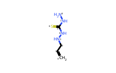 C=CCNNC(=S)NN